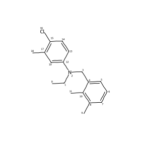 CCN(Cc1cccc(C)c1C)c1ccc(Cl)c(C)c1